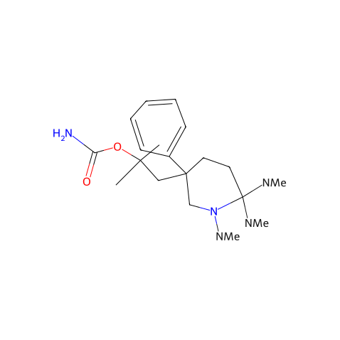 CNN1CC(CC(C)(C)OC(N)=O)(c2ccccc2)CCC1(NC)NC